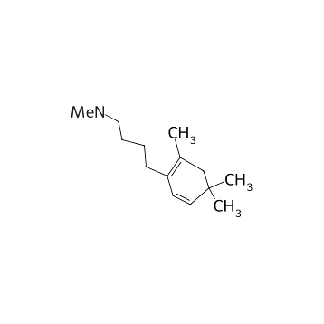 CNCCCCC1=C(C)CC(C)(C)C=C1